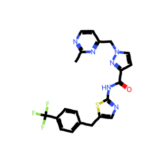 Cc1nccc(Cn2ccc(C(=O)Nc3ncc(Cc4ccc(C(F)(F)F)cc4)s3)n2)n1